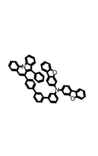 c1ccc(-c2c3ccccc3n3c2c(-c2ccc(-c4cccc(-c5cccc(N(c6ccc7c(c6)oc6ccccc67)c6ccc7c(c6)oc6ccccc67)c5)c4)cc2)cc2ccccc23)cc1